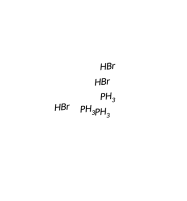 Br.Br.Br.P.P.P